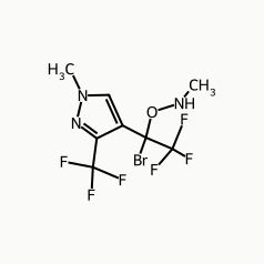 CNOC(Br)(c1cn(C)nc1C(F)(F)F)C(F)(F)F